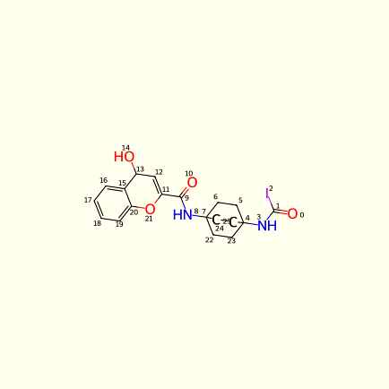 O=C(I)NC12CCC(NC(=O)C3=CC(O)c4ccccc4O3)(CC1)CC2